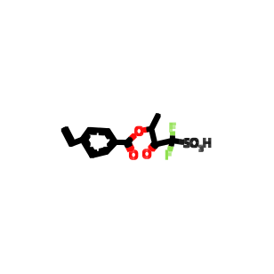 C=Cc1ccc(C(=O)OC(C)C(=O)C(F)(F)S(=O)(=O)O)cc1